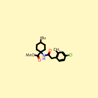 COC(=O)C1(NC(=O)Cc2ccc(Cl)cc2C)CCC(C(C)(C)C)CC1